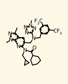 Cc1nn(C)c2nc(N(CC3CC3)C(=O)C3CCCCC3)c(CN(Cc3cc(C(F)(F)F)cc(C(F)(F)F)c3)c3nnn(C)n3)cc12